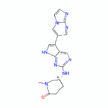 CN1C[C@H](Nc2ncc3c(-c4cnc5nccn5c4)c[nH]c3n2)CCC1=O